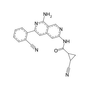 N#Cc1ccccc1-c1cc2cc(NC(=O)C3CC3C#N)ncc2c(N)n1